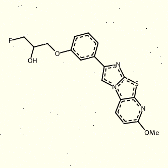 COc1ccc2c(n1)sc1nc(-c3cccc(OCC(O)CF)c3)cn12